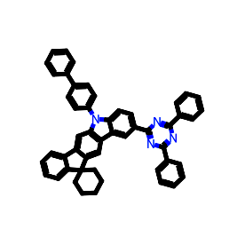 c1ccc(-c2ccc(-n3c4ccc(-c5nc(-c6ccccc6)nc(-c6ccccc6)n5)cc4c4cc5c(cc43)-c3ccccc3C53CCCCC3)cc2)cc1